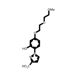 COCCOCCOc1ccc(-n2ccc(C(=O)O)n2)c(O)c1